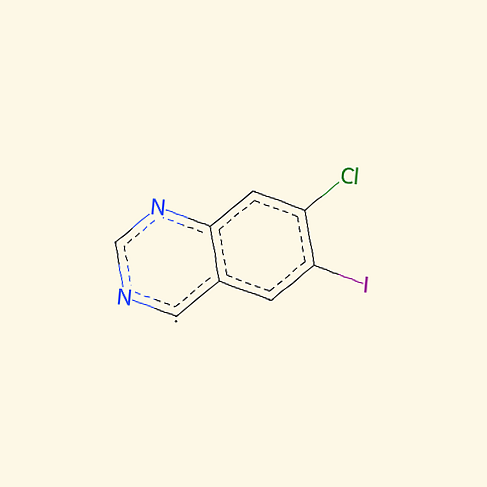 Clc1cc2ncn[c]c2cc1I